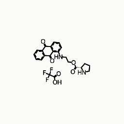 O=C(O)C(F)(F)F.O=C1c2ccccc2C(=O)c2c(NCCOC(=O)[C@@H]3CCCN3)cccc21